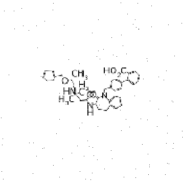 C[C@H](CNC(C)(C)CC(=O)NC1CCc2ccccc2N(Cc2ccc(-c3ccccc3C(=O)O)cc2)C1=O)OCc1ccccc1